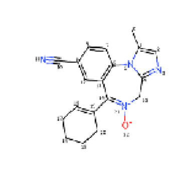 Cc1cnc2n1-c1ccc(C#N)cc1C(C1=CCCCC1)=[N+]([O-])C2